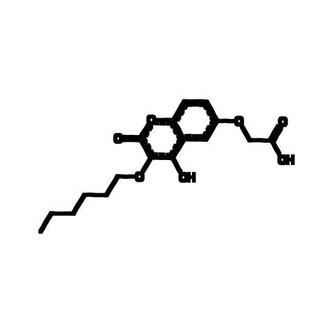 CCCCCCOc1c(O)c2cc(OCC(=O)O)ccc2oc1=O